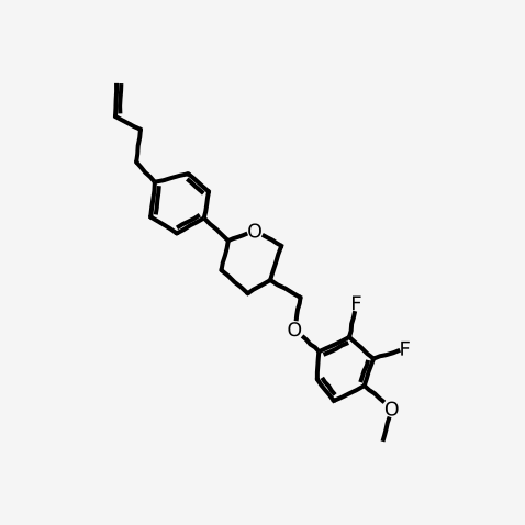 C=CCCc1ccc(C2CCC(COc3ccc(OC)c(F)c3F)CO2)cc1